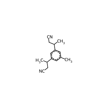 Cc1cc(C(C)CC#N)cc(C(C)CC#N)c1